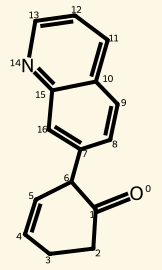 O=C1CCC=CC1c1ccc2cccnc2c1